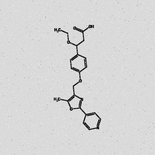 CCOC(CC(=O)O)c1ccc(OCc2nc(-c3ccncc3)oc2C)cc1